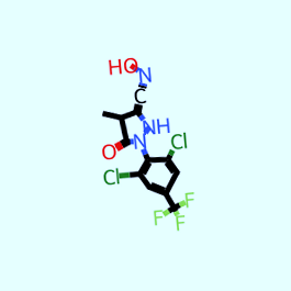 CC1C(=O)N(c2c(Cl)cc(C(F)(F)F)cc2Cl)NC1=C=NO